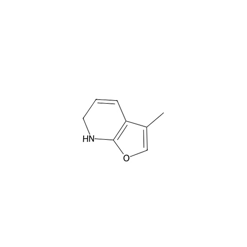 Cc1coc2c1C=CCN2